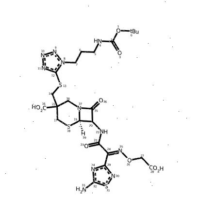 CC(C)(C)OC(=O)NCCCn1nnnc1SCC1(C(=O)O)CS[C@@H]2C(NC(=O)C(=NOCC(=O)O)c3nsc(N)n3)C(=O)N2C1